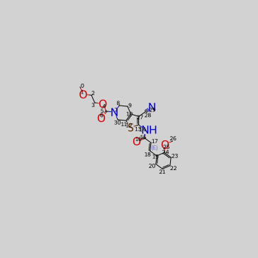 COCCOC(=O)N1CCc2c(sc(NC(=O)/C=C/c3ccccc3OC)c2C#N)C1